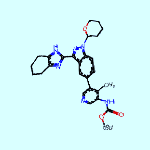 Cc1c(NC(=O)OC(C)(C)C)cncc1-c1ccc2c(c1)c(-c1nc3c([nH]1)CCCC3)nn2C1CCCCO1